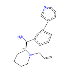 C=CCN1CCCC[C@H]1C(N)c1cccc(-c2cccnc2)c1